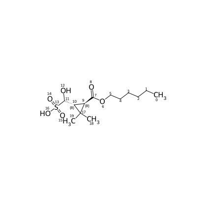 CCCCCCOC(=O)[C@@H]1[C@@H](C(O)S(=O)(=O)O)C1(C)C